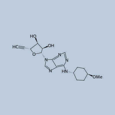 C#C[C@H]1O[C@@H](n2cnc3c(N[C@H]4CC[C@H](OC)CC4)ncnc32)[C@H](O)[C@@H]1O